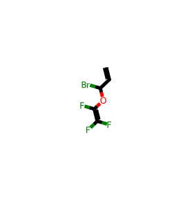 C=CC(Br)OC(F)=C(F)F